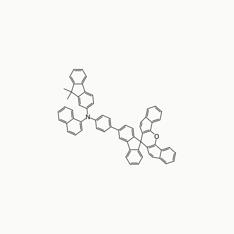 CC1(C)c2ccccc2-c2ccc(N(c3ccc(-c4ccc5c(c4)-c4ccccc4C54c5ccc6ccccc6c5Oc5c4ccc4ccccc54)cc3)c3cccc4ccccc34)cc21